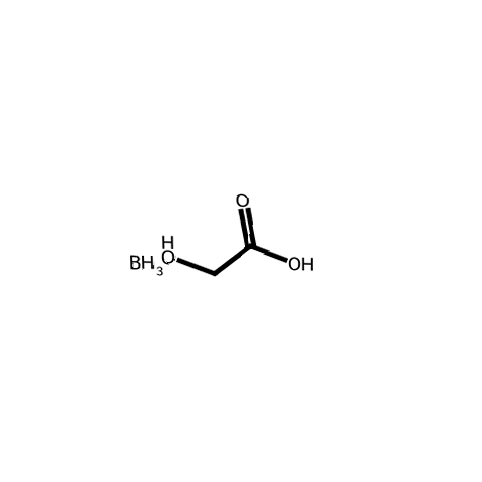 B.O=C(O)CO